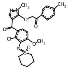 COc1ccc(C(=O)c2cnn(C)c2OCC(=O)c2ccc(C)cc2)c(Cl)c1N=S1(=O)CCCCC1